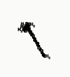 COCCOCCOCCOCCOCCOCCOCCC[Si](C)(O[Si](C)(C)C)O[Si](C)(C)C